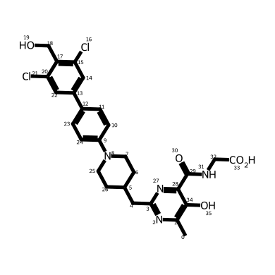 Cc1nc(CC2CCN(c3ccc(-c4cc(Cl)c(CO)c(Cl)c4)cc3)CC2)nc(C(=O)NCC(=O)O)c1O